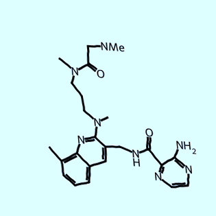 CNCC(=O)N(C)CCCN(C)c1nc2c(C)cccc2cc1CNC(=O)c1nccnc1N